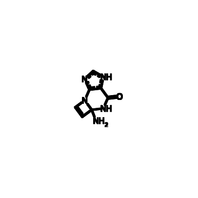 NC12C=CN1c1nc[nH]c1C(=O)N2